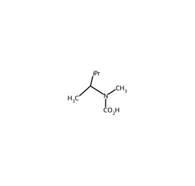 CC(C)C(C)N(C)C(=O)O